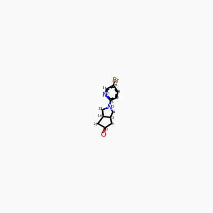 O=C1CC2CN(c3ccc(Br)cn3)CC2C1